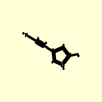 Cc1cc(C#CF)co1